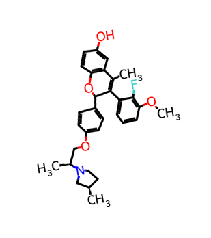 COc1cccc(C2=C(C)c3cc(O)ccc3OC2c2ccc(OC[C@H](C)N3CC[C@@H](C)C3)cc2)c1F